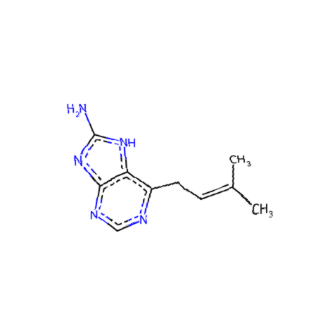 CC(C)=CCc1ncnc2nc(N)[nH]c12